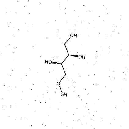 OC[C@@H](O)[C@H](O)COS